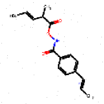 C/C=C/c1ccc(C(=O)NOC(=O)C(C)C=CCCCC)cc1